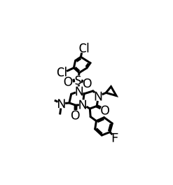 CN(C)C1CN(S(=O)(=O)c2ccc(Cl)cc2Cl)C2CN(C3CC3)C(=O)C(Cc3ccc(F)cc3)N2C1=O